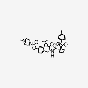 Cc1ccc(S(=O)(=O)N2CCC[C@H]2C(=O)N[C@@H](Cc2ccc(OC(=O)N3CCN(C)CC3)cc2)C(=O)OC(C)C)cc1